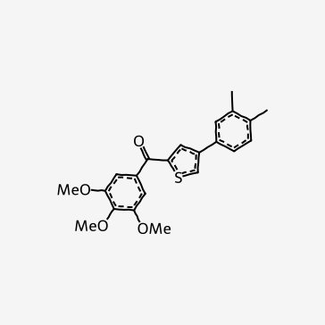 COc1cc(C(=O)c2cc(-c3ccc(C)c(C)c3)cs2)cc(OC)c1OC